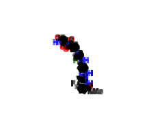 CNC(=O)c1ccccc1Nc1nc(Nc2ccc(CN[C@@H]3CCN(c4ccc5c(c4)C(=O)N(C4CCC(=O)NC4=O)C5=O)C[C@@H]3F)cc2)ncc1C(F)(F)F